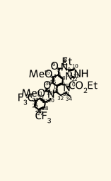 CCOC(=O)N1c2cc(C(=O)N(CC)c3c[nH]cn3)c(OC)cc2C(N(Cc2cc(C(F)(F)F)cc(C(F)(F)F)c2)C(=O)OC)CC1C